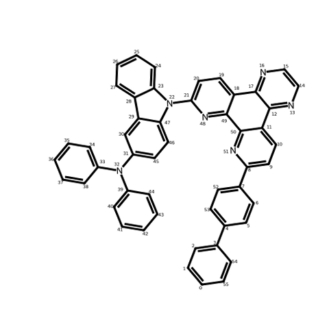 c1ccc(-c2ccc(-c3ccc4c5nccnc5c5ccc(-n6c7ccccc7c7cc(N(c8ccccc8)c8ccccc8)ccc76)nc5c4n3)cc2)cc1